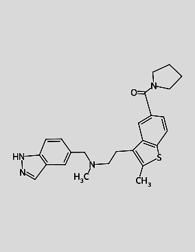 Cc1sc2ccc(C(=O)N3CCCC3)cc2c1CCN(C)Cc1ccc2[nH]ncc2c1